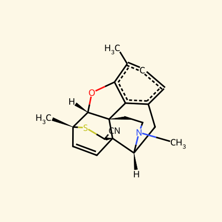 Cc1ccc2c3c1O[C@H]1[C@@]4(C)C=C[C@@]5(C(C#N)S4)[C@@H](C2)N(C)CC[C@]315